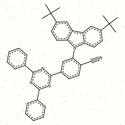 CC(C)(C)c1ccc2c(c1)c1cc(C(C)(C)C)ccc1n2-c1cc(-c2nc(-c3ccccc3)nc(-c3ccccc3)n2)ccc1C#N